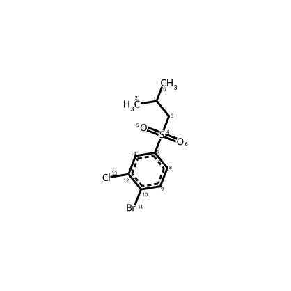 CC(C)CS(=O)(=O)c1ccc(Br)c(Cl)c1